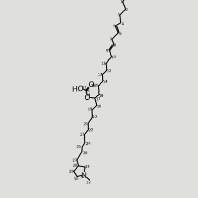 CCCCCC=CCC=CCCCCCCCC(CCCCCCCCCCC1CCN(C)C1)OC(=O)O